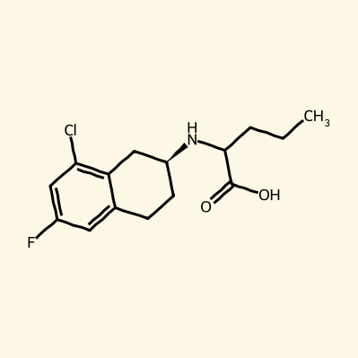 CCCC(N[C@H]1CCc2cc(F)cc(Cl)c2C1)C(=O)O